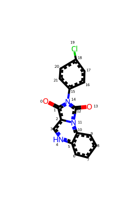 O=c1c2c[nH]c3ccccc3n-2c(=O)n1-c1ccc(Cl)cc1